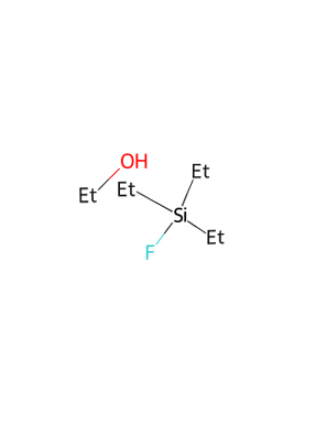 CCO.CC[Si](F)(CC)CC